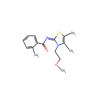 COCCn1c(C)c(C)sc1=NC(=O)c1ccccc1C